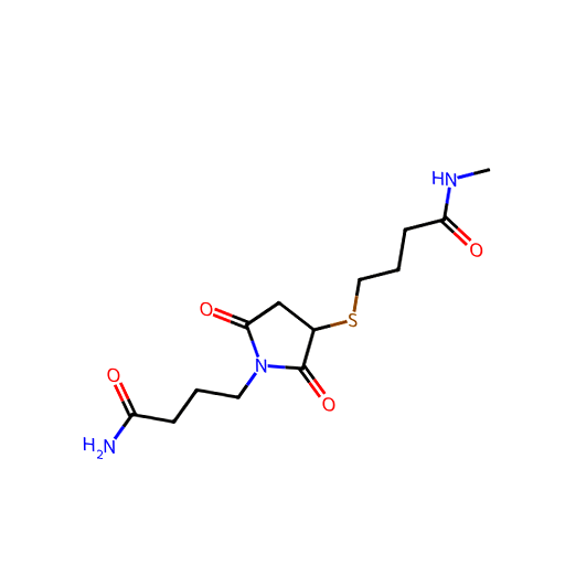 CNC(=O)CCCSC1CC(=O)N(CCCC(N)=O)C1=O